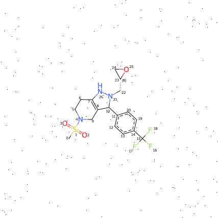 CS(=O)(=O)N1CCC2=C(C1)C(c1ccc(C(F)(F)F)cc1)N(C[C@@H]1CO1)N2